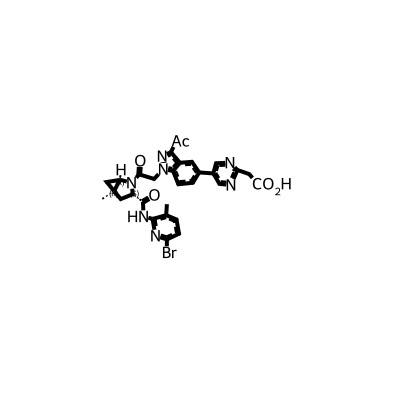 CC(=O)c1nn(CC(=O)N2[C@H](C(=O)Nc3nc(Br)ccc3C)C[C@@]3(C)C[C@@H]23)c2ccc(-c3cnc(CC(=O)O)nc3)cc12